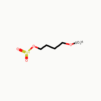 O=[SH](=O)OCCCCOS(=O)(=O)O